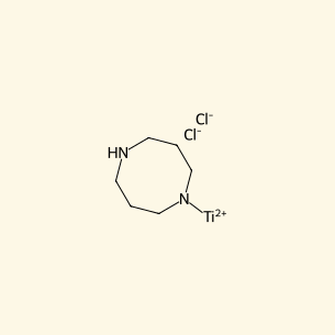 [Cl-].[Cl-].[Ti+2][N]1CCCNCCC1